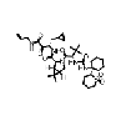 C=CCNC(=O)C(=O)[C@H](CC1CC1)NC(=O)[C@@H]1[C@@H]2[C@H](CN1C(=O)[C@@H](NC(=O)NC1([C@H]3CCCCS3(=O)=O)CCCCC1)C(C)(C)C)C2(C)C